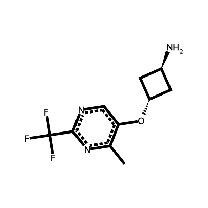 Cc1nc(C(F)(F)F)ncc1O[C@H]1C[C@H](N)C1